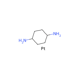 NC1CCC(N)CC1.[Pt]